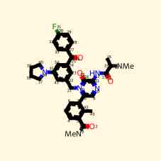 CNC(=O)c1cccc(-c2cnc(NC(=O)C(C)NC)c(=O)n2Cc2cc(C(=O)c3ccc(F)cc3)cc(N3CCCC3)c2)c1C